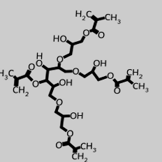 C=C(C)C(=O)OCC(O)COCC(O)C(OC(=O)C(=C)C)C(O)C(COCC(O)COC(=O)C(=C)C)OCC(O)COC(=O)C(=C)C